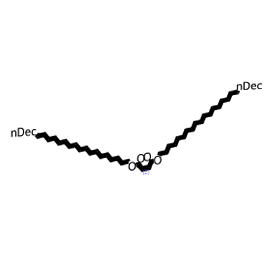 CCCCCCCCCCCCCCCCCCCCCCCCCCCCOC(=O)/C=C\C(=O)OCCCCCCCCCCCCCCCCCCCCCCCCCCCC